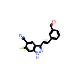 N#Cc1cc2c(/C=C/c3cccc(C=O)c3)n[nH]c2cc1F